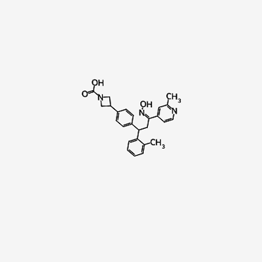 Cc1cc(C(CC(c2ccc(C3CN(C(=O)O)C3)cc2)c2ccccc2C)=NO)ccn1